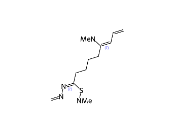 C=C/C=C(/CCCC/C(=N/N=C)SNC)NC